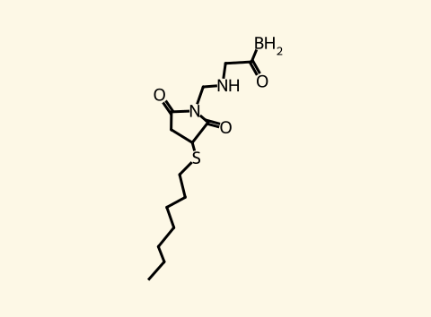 BC(=O)CNCN1C(=O)CC(SCCCCCCC)C1=O